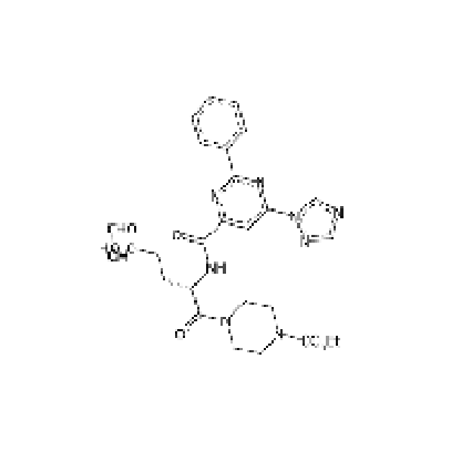 CCOC(=O)N1CCN(C(=O)[C@H](CCC(=O)O)NC(=O)c2cc(-n3cncn3)nc(-c3ccccc3)n2)CC1.O=CO